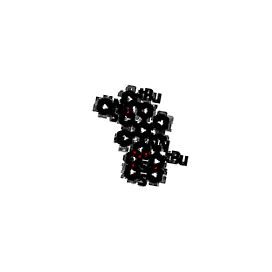 CC(C)(C)c1ccc2c(c1-c1nccc(-c3c(-c4ccccc4)c(-c4ccccc4)c(-c4ccccc4)c(-c4cccc(-c5c(C(C)(C)C)ccc6c5nc5sc7ccccc7n56)c4)c3-c3ccccc3)n1)Sc1ccccc1[Si]21c2ccccc2Sc2ccccc21